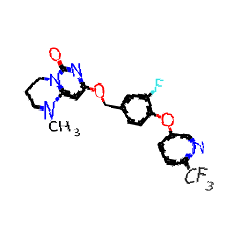 CN1CCCn2c1cc(OCc1ccc(Oc3ccc(C(F)(F)F)nc3)c(F)c1)nc2=O